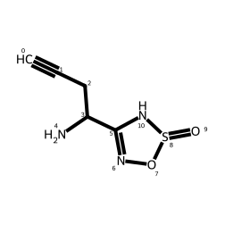 C#CCC(N)C1=NOS(=O)N1